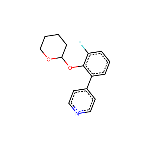 Fc1cccc(-c2ccncc2)c1OC1CCCCO1